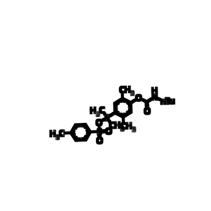 CCCCNC(=O)Oc1cc(C)c(S(C)(C)OS(=O)(=O)c2ccc(C)cc2)cc1C